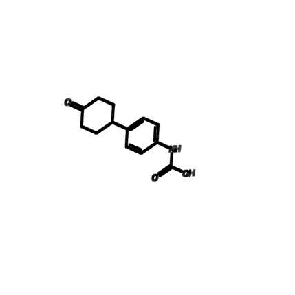 O=C1CCC(c2ccc(NC(=O)O)cc2)CC1